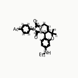 CCNc1ccc2c(c1)OC(C)(C)C1=CCn3c(=O)n(-c4ccc(C(C)=O)cc4)c(=O)n3C12